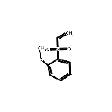 C=CS(=O)(=O)c1c[c]ccc1OC